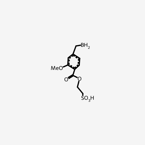 BCc1ccc(C(=O)OCCS(=O)(=O)O)c(OC)c1